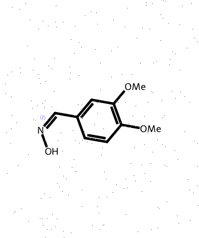 COc1ccc(/C=N\O)cc1OC